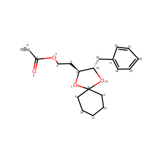 CCCCC(=O)OCC[C@@H]1OC2(CCCCC2)O[C@H]1Cc1ccccc1